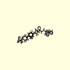 O=C1N[C@H](CCC(=O)N2CC(c3ccc(C4CCC(C(F)(F)F)CC4)nc3)C2)CO1